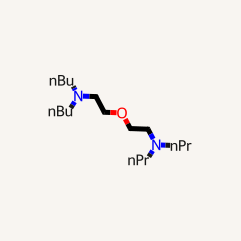 CCCCN(CCCC)CCOCCN(CCC)CCC